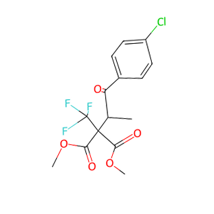 COC(=O)C(C(=O)OC)(C(C)C(=O)c1ccc(Cl)cc1)C(F)(F)F